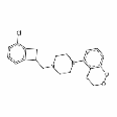 Clc1cccc2c1CC2CN1CCN(c2cccc3c2CCOO3)CC1